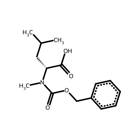 CC(C)C[C@H](C(=O)O)N(C)C(=O)OCc1ccccc1